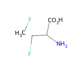 CF.NC(CF)C(=O)O